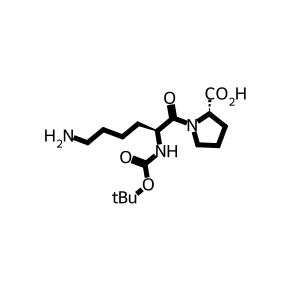 CC(C)(C)OC(=O)N[C@@H](CCCCN)C(=O)N1CCC[C@H]1C(=O)O